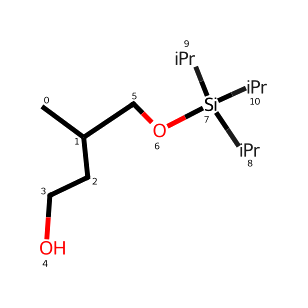 CC(CCO)CO[Si](C(C)C)(C(C)C)C(C)C